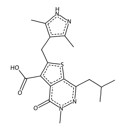 Cc1n[nH]c(C)c1Cc1sc2c(CC(C)C)nn(C)c(=O)c2c1C(=O)O